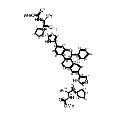 C=C([C@@H](NC(=O)OC)C(C)C)N1CCC[C@H]1c1ncc(-c2ccc3c(c2)OC(c2ccccc2)C2=C3COc3cc(-c4cnc([C@@H]5CCCN5C(=O)[C@@H](NC(=O)OC)C(C)C)[nH]4)ccc32)[nH]1